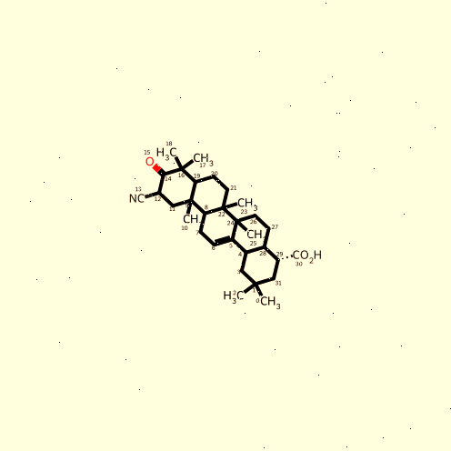 CC1(C)CC2C3=CCC4C5(C)CC(C#N)C(=O)C(C)(C)C5CCC4(C)C3(C)CCC2[C@H](C(=O)O)C1